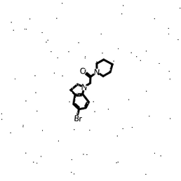 O=C(CN1CCc2cc(Br)ccc21)N1CCCCC1